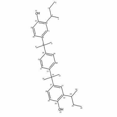 CCC(C)c1cc(C(C)(C)c2ccc(C(C)(C)c3ccc(O)c(C(C)CC)c3)cc2)ccc1O